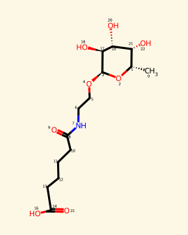 C[C@@H]1O[C@@H](OCCNC(=O)CCCCC(=O)O)[C@@H](O)[C@H](O)[C@@H]1O